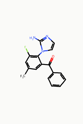 Nc1nccn1-c1c(F)cc(C(F)(F)F)cc1C(=O)c1ccccc1